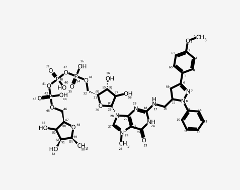 COc1ccc(C2=NN(c3ccccc3)C(CNc3nc4c(c(=O)[nH]3)[n+](C)cn4[C@@H]3O[C@H](COP(=O)(O)OP(=O)(O)OP(=O)(O)OC[C@H]4O[C@@H](C)[C@@H](O)C4O)[C@H](O)C3O)C2)cc1